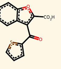 O=C(O)c1oc2ccccc2c1C(=O)c1cccs1